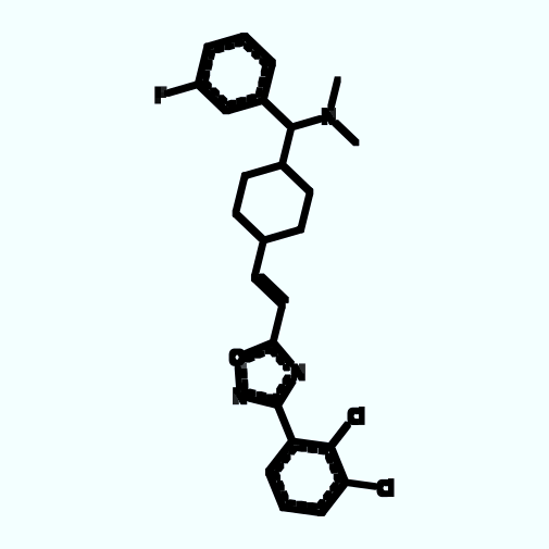 CN(C)C(c1cccc(F)c1)C1CCC(/C=C/c2nc(-c3cccc(Cl)c3Cl)no2)CC1